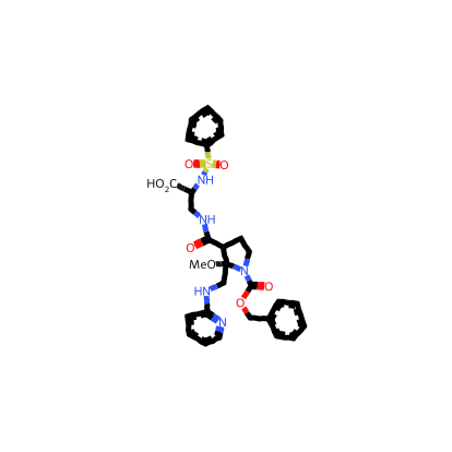 COC1(CNc2ccccn2)C(C(=O)NCC(NS(=O)(=O)c2ccccc2)C(=O)O)CCN1C(=O)OCc1ccccc1